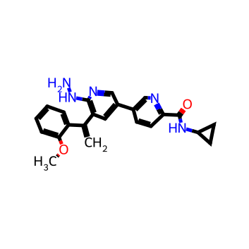 C=C(c1ccccc1OC)c1cc(-c2ccc(C(=O)NC3CC3)nc2)cnc1NN